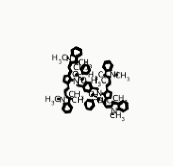 CN1/C(=C/C=C2\CCC(/C=C/C3=[N+](C)c4ccccc4C3(C)C)=C2N(Cc2ccc(CN(C3=C(/C=C/C4=[N+](C)c5ccccc5C4(C)C)CC/C3=C\C=C3\N(C)c4ccccc4C3(C)C)S(=O)(=O)c3ccccc3)cc2)S(=O)(=O)c2ccccc2)C(C)(C)c2ccccc21